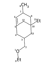 CCOCC1CC2=CC(C)CC(CC)(C2)C1